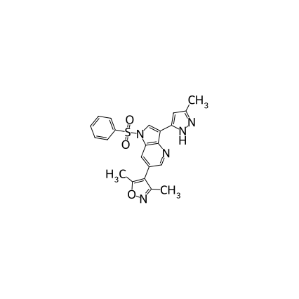 Cc1cc(-c2cn(S(=O)(=O)c3ccccc3)c3cc(-c4c(C)noc4C)cnc23)[nH]n1